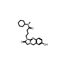 CN(C(=O)CCCN1C(=O)CN2Cc3cc(O)ccc3N=C21)C1CCCCC1